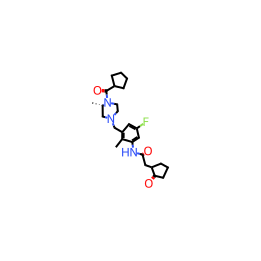 Cc1c(CN2CCN(C(=O)C3CCCC3)[C@@H](C)C2)cc(F)cc1NC(=O)CC1CCCC1=O